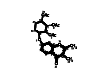 CC(=O)O[C@@H]1[C@@H](OC(C)=O)[C@@H](Oc2ccc3c(=O)c(C)c(C)oc3c2)SC[C@H]1OC(C)=O